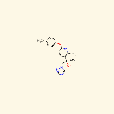 Cc1ccc(Oc2ccc([C@@](C)(O)Cn3cncn3)c(C(F)(F)F)n2)cc1